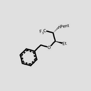 CCCCC[C@H]([C@@H](CC)OCc1ccccc1)C(F)(F)F